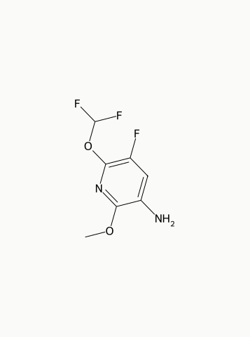 COc1nc(OC(F)F)c(F)cc1N